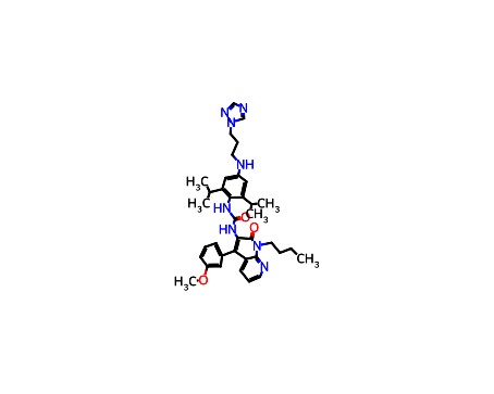 CCCCn1c(=O)c(NC(=O)Nc2c(C(C)C)cc(NCCCn3cncn3)cc2C(C)C)c(-c2cccc(OC)c2)c2cccnc21